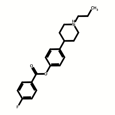 CCC[SiH]1CCC(c2ccc(OC(=O)c3ccc(F)cc3)cc2)CC1